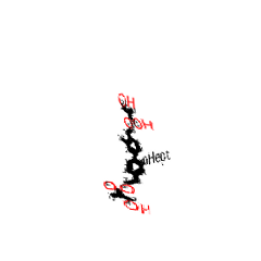 C=C(CO)C(=O)OCCc1ccc(-c2ccc(CCOC(O)C(=C)CO)c(C)c2)c(CCCCCCC)c1